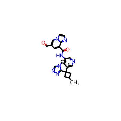 CC1CC(c2cncc(NC(=O)c3cc(C=O)cn4ccnc34)c2)(c2nncn2C)C1